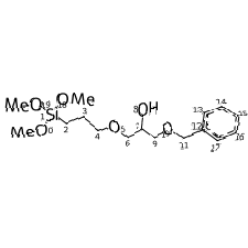 CO[Si](CCCOCC(O)COCc1ccccc1)(OC)OC